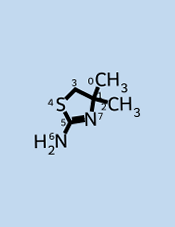 CC1(C)CSC(N)=N1